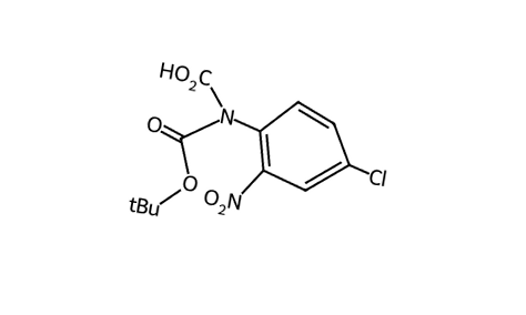 CC(C)(C)OC(=O)N(C(=O)O)c1ccc(Cl)cc1[N+](=O)[O-]